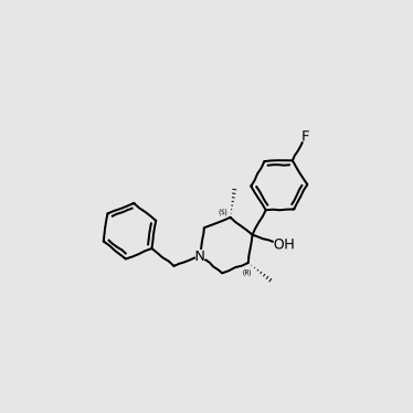 C[C@@H]1CN(Cc2ccccc2)C[C@H](C)C1(O)c1ccc(F)cc1